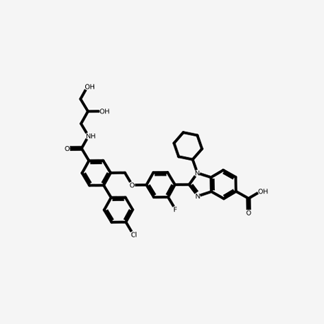 O=C(O)c1ccc2c(c1)nc(-c1ccc(OCc3cc(C(=O)NCC(O)CO)ccc3-c3ccc(Cl)cc3)cc1F)n2C1CCCCC1